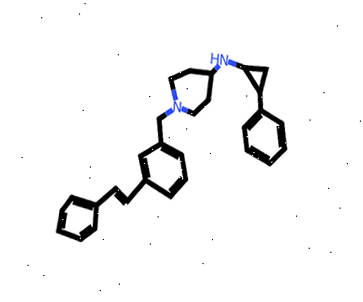 C(=Cc1cccc(CN2CCC(NC3CC3c3ccccc3)CC2)c1)c1ccccc1